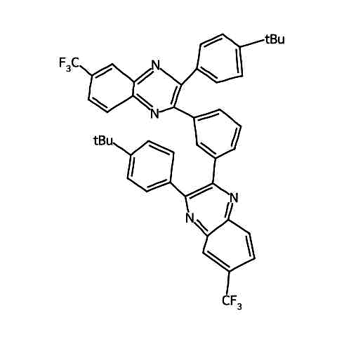 CC(C)(C)c1ccc(-c2nc3cc(C(F)(F)F)ccc3nc2-c2cccc(-c3nc4ccc(C(F)(F)F)cc4nc3-c3ccc(C(C)(C)C)cc3)c2)cc1